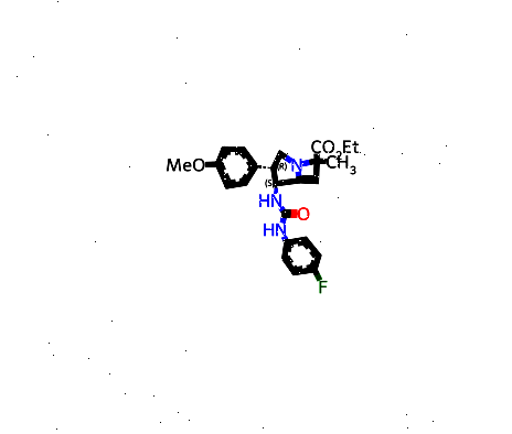 CCOC(=O)C1(C)C=C2[C@@H](NC(=O)Nc3ccc(F)cc3)[C@H](c3ccc(OC)cc3)CN21